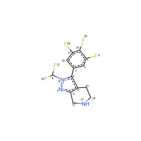 Fc1cc(-c2c3c(nn2C(F)F)CNCC3)cc(F)c1F